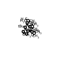 CC(C)(C)c1cc(N(c2ccc3c(c2)C(C)(C)CCC3(C)C)c2ccc3c(c2)C(C)(C)CCC3(C)C)cc(N(c2ccc3c(c2)oc2cc4c(cc23)C(C)(C)CCC4(C)C)c2cccc3oc4ccccc4c23)c1